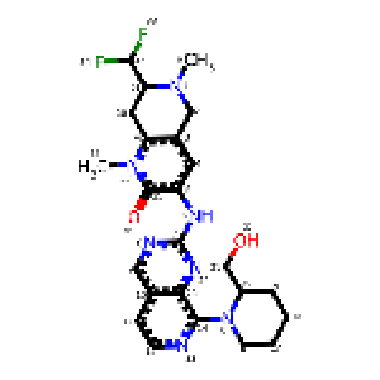 CN1Cc2cc(Nc3ncc4ccnc(N5CCCCC5CO)c4n3)c(=O)n(C)c2CC1C(F)F